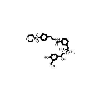 CC(C)(Cc1cccc(C(=O)NCCc2ccc(S(=O)(=O)N3CCOCC3)cc2)c1)NC[C@@H](O)c1ccc(O)c(CO)c1